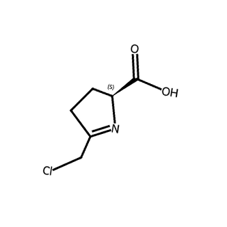 O=C(O)[C@@H]1CCC(CCl)=N1